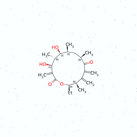 C=C1C(=C)[C@@H](C)[C@@H](CC)OC(=O)C(=C)[C@@H](O)[C@H](C)[C@@H](O)[C@@H](C)C[C@@H](C)C1=O